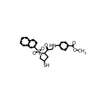 COC(=O)c1ccc(NCC(=O)C2CC(S)CN2S(=O)(=O)c2ccc3ccccc3c2)cc1